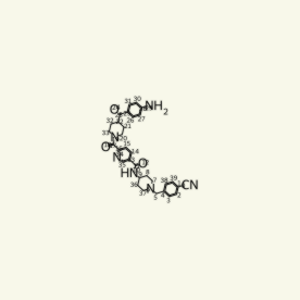 N#Cc1ccc(CN2CCC(NC(=O)c3ccc(C(=O)N4CCC(C(=O)c5ccc(N)cc5)CC4)nc3)CC2)cc1